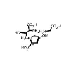 CC(O)C(N)C(=O)O.NCC(=O)O.O=C(O)[C@@H]1C[C@@H](O)CN1